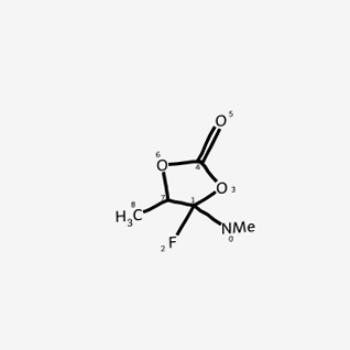 CNC1(F)OC(=O)OC1C